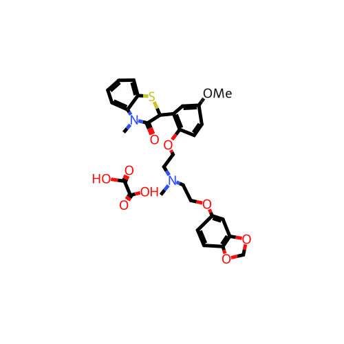 COc1ccc(OCCN(C)CCOc2ccc3c(c2)OCO3)c(C2Sc3ccccc3N(C)C2=O)c1.O=C(O)C(=O)O